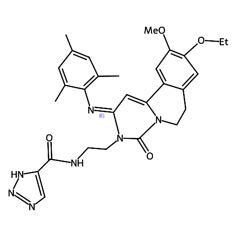 CCOc1cc2c(cc1OC)-c1c/c(=N\c3c(C)cc(C)cc3C)n(CCNC(=O)c3cnn[nH]3)c(=O)n1CC2